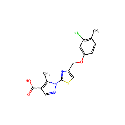 Cc1ccc(OCc2csc(-n3ncc(C(=O)O)c3C)n2)cc1Cl